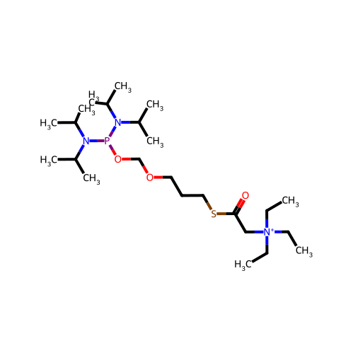 CC[N+](CC)(CC)CC(=O)SCCCOCOP(N(C(C)C)C(C)C)N(C(C)C)C(C)C